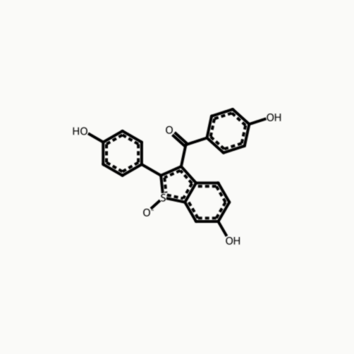 O=C(c1ccc(O)cc1)c1c(-c2ccc(O)cc2)[s+]([O-])c2cc(O)ccc12